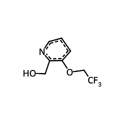 OCc1ncccc1OCC(F)(F)F